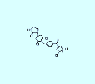 O=C(c1ccc(Cc2c(Cl)cc(N3N=CCNC3=O)cc2Cl)cc1)c1cc(Cl)nc(Cl)c1